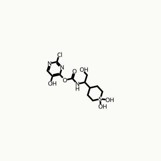 O=C(NC(CO)C1CCS(O)(O)CC1)Oc1nc(Cl)ncc1O